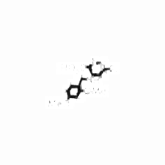 COc1ccc(CNc2cc(Cl)nnc2C(=O)O)c(OC)c1